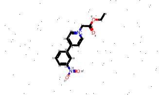 CCOC(=O)C[n+]1ccc(-c2cccc([N+](=O)[O-])c2)cc1